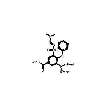 CCCCCN(CCCCC)c1cc(C(=O)OC)cc(S(=O)(=O)/N=C/N(C)C)c1Oc1ccccc1